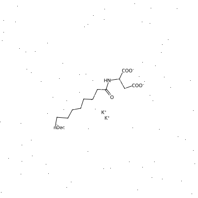 CCCCCCCCCCCCCCCCCC(=O)NC(CC(=O)[O-])C(=O)[O-].[K+].[K+]